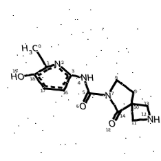 Cc1nc(NC(=O)N2CCC3(CNC3)C2=O)ccc1O